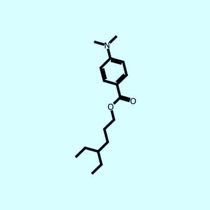 CCC(CC)CCCOC(=O)c1ccc(N(C)C)cc1